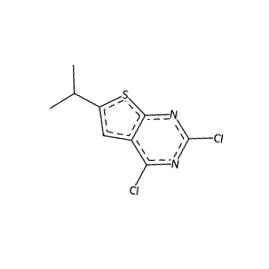 CC(C)c1cc2c(Cl)nc(Cl)nc2s1